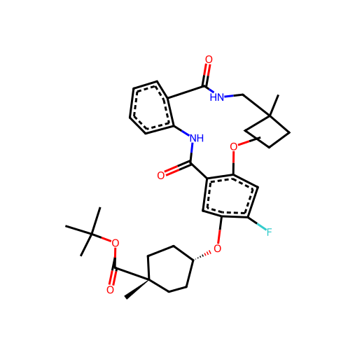 COc1cc(F)c(O[C@H]2CC[C@@](C)(C(=O)OC(C)(C)C)CC2)cc1C(=O)Nc1ccccc1C(=O)NCC1(C)CCC1